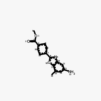 COC(=O)c1ccc(-c2nc3cc(N)cc(C)c3o2)cc1